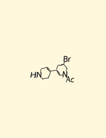 CC(=O)N1C=C(C2=CCNCC2)C=C(Br)C1